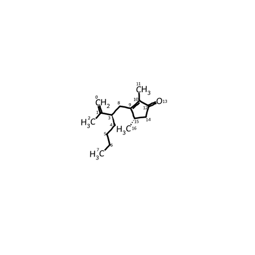 C=C(C)[C@H](CCCC)CC1=C(C)C(=O)C[C@@H]1C